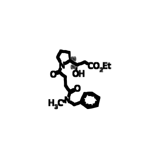 CCOC(=O)C[C@H](O)[C@@H]1CCCN1C(=O)CCC(=O)N(C)Cc1ccccc1